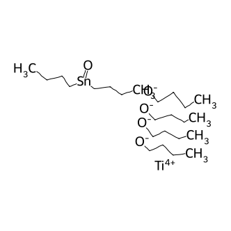 CCCC[O-].CCCC[O-].CCCC[O-].CCCC[O-].CCC[CH2][Sn](=[O])[CH2]CCC.[Ti+4]